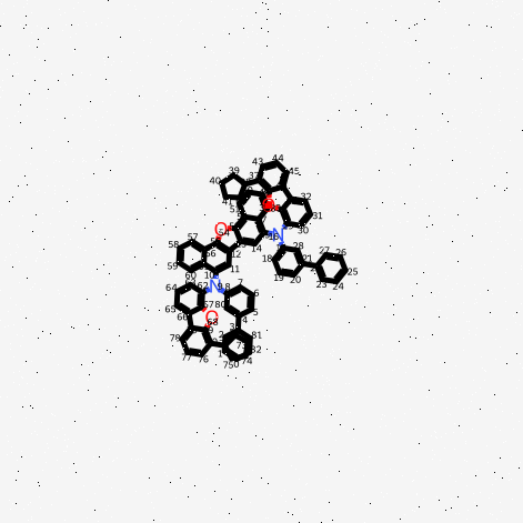 c1ccc(-c2cccc(N(c3cc4c5cc(N(c6cccc(-c7ccccc7)c6)c6cccc7c6oc6c(C8CCCC8)cccc67)c6ccccc6c5oc4c4ccccc34)c3cccc4c3oc3c(C5CCCC5)cccc34)c2)cc1